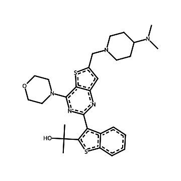 CN(C)C1CCN(Cc2cc3nc(-c4c(C(C)(C)O)sc5ccccc45)nc(N4CCOCC4)c3s2)CC1